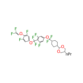 CCCC1COC(C2CCC(C(F)(F)Oc3cc(F)c(C(F)(F)Oc4cc(F)c(OC=C(F)F)c(F)c4)c(F)c3)CC2)OC1